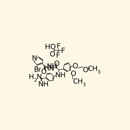 CCOc1cc(C(Nc2ccc(C(=N)N)cc2)C(=O)NNC(=O)c2ccncc2Br)ccc1OCCOC.O=C(O)C(F)(F)F